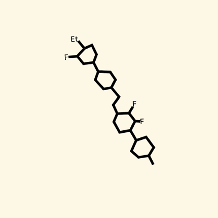 CCC1CCC(C2CCC(CCC3CCC(C4CCC(C)CC4)C(F)C3F)CC2)CC1F